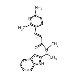 Cc1nc(N)ccc1/C=C/C(=O)N(C)C(C)c1cc2ccccc2[nH]1